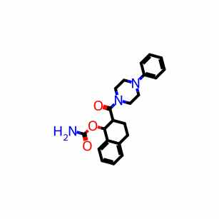 NC(=O)OC1c2ccccc2CCC1C(=O)N1CCN(c2ccccc2)CC1